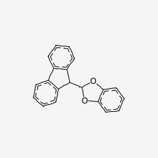 c1ccc2c(c1)O[C](C1c3ccccc3-c3ccccc31)O2